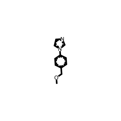 COCc1ccc(-n2ccnc2)cc1